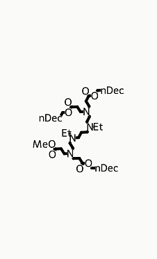 CCCCCCCCCCCOC(=O)CCN(CCC(=O)OC)CCN(CC)CCCN(CC)CCN(CCC(=O)OCCCCCCCCCCC)CCC(=O)OCCCCCCCCCCC